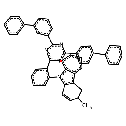 CC1C=Cc2c(c3ccccc3n2-c2ccccc2-c2nc(-c3ccc(-c4ccccc4)cc3)nc(-c3cccc(-c4ccccc4)c3)n2)C1